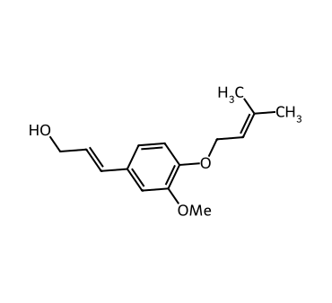 COc1cc(/C=C/CO)ccc1OCC=C(C)C